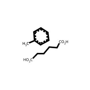 Cc1ccccc1.O=C(O)CCCCC(=O)O